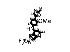 COc1cc(Nc2cc(C)nc3cn(CC(F)(F)F)nc23)ccc1-c1cnc(C)o1